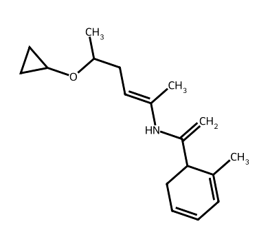 C=C(N/C(C)=C/CC(C)OC1CC1)C1CC=CC=C1C